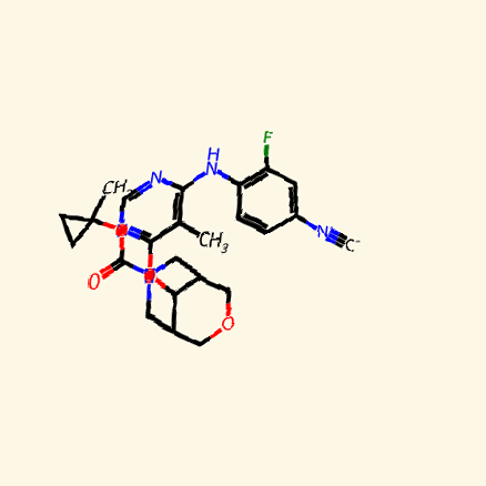 [C-]#[N+]c1ccc(Nc2ncnc(OC3C4COCC3CN(C(=O)OC3(C)CC3)C4)c2C)c(F)c1